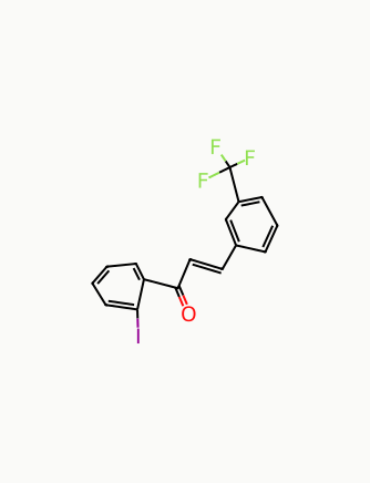 O=C(C=Cc1cccc(C(F)(F)F)c1)c1ccccc1I